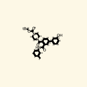 Cc1cccc(NC(=O)c2cc(-c3cccc(O)c3)ccc2C(=O)N2CCN(C(=O)OC(C)(C)C)CC2)c1